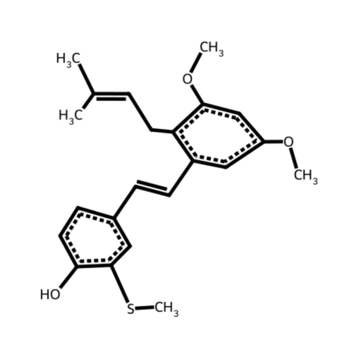 COc1cc(/C=C/c2ccc(O)c(SC)c2)c(CC=C(C)C)c(OC)c1